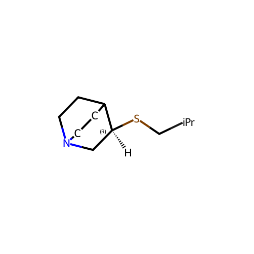 CC(C)CS[C@H]1CN2CCC1CC2